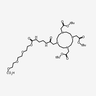 CC(C)(C)OC(=O)CN1CCN(CC(=O)NCCNC(=O)OCCOCCOCCOC(=O)O)CCN(CC(=O)OC(C)(C)C)CCN(CC(=O)OC(C)(C)C)CC1